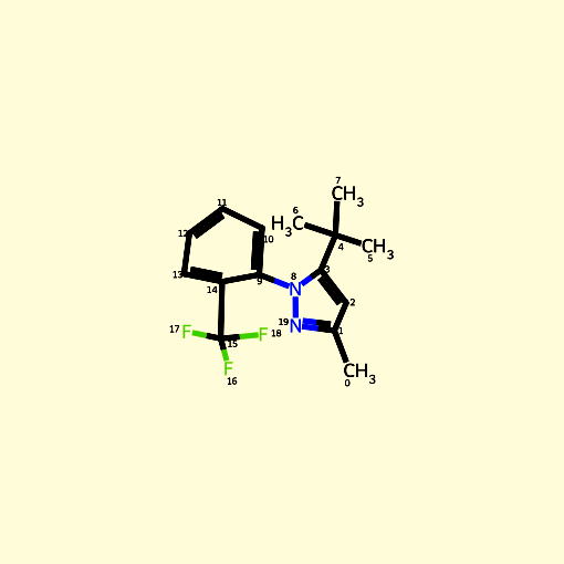 Cc1cc(C(C)(C)C)n(-c2ccccc2C(F)(F)F)n1